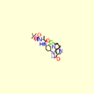 CC(=O)c1cnc2ccc(Cl)nc2c1N[C@H]1CC[C@H](NC(=O)C(C)NC(=O)OC(C)(C)C)CC1